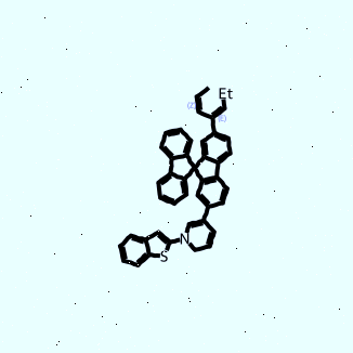 C/C=C\C(=C/CC)c1ccc2c(c1)C1(c3ccccc3-c3ccccc31)c1cc(C3=CN(c4cc5ccccc5s4)CC=C3)ccc1-2